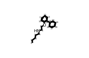 CCCCCNCCOc1ccccc1-c1ccccc1